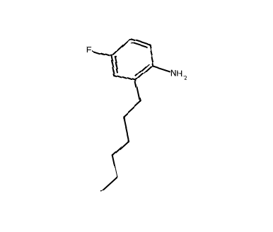 CCCCCCc1cc(F)ccc1N